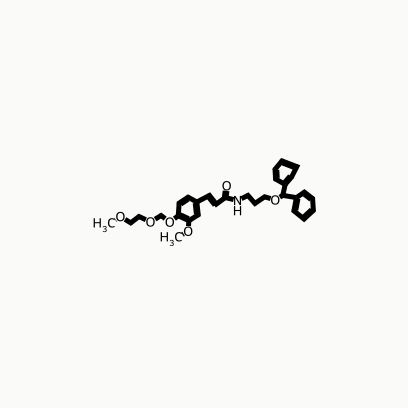 COCCOCOc1ccc(C=CC(=O)NCCCOC(c2ccccc2)c2ccccc2)cc1OC